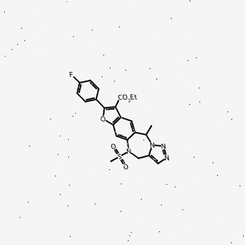 CCOC(=O)c1c(-c2ccc(F)cc2)oc2cc3c(cc12)C(C)n1nncc1CN3S(C)(=O)=O